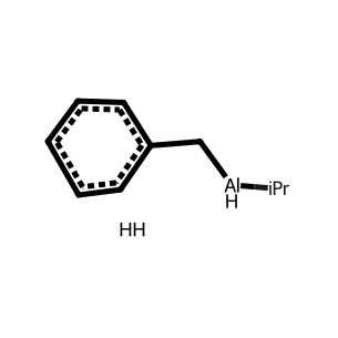 C[CH](C)[AlH][CH2]c1ccccc1.[HH]